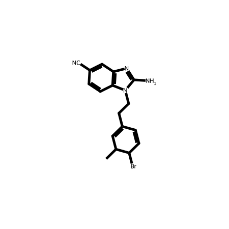 CC1C=C(CCn2c(N)nc3cc(C#N)ccc32)C=CC1Br